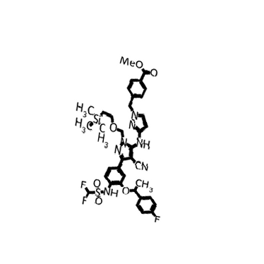 COC(=O)c1ccc(Cn2ccc(Nc3c(C#N)c(-c4ccc(NS(=O)(=O)C(F)F)c(OC(C)c5ccc(F)cc5)c4)nn3COCC[Si](C)(C)C)n2)cc1